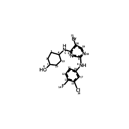 OC1CCC(Nc2nc(Nc3ccc(F)c(Cl)c3)ncc2Br)CC1